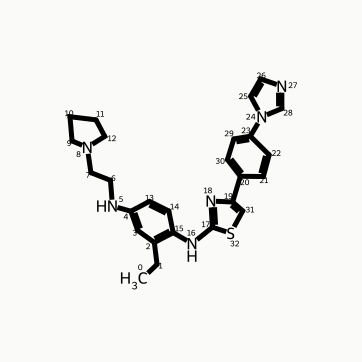 CCc1cc(NCCN2CCCC2)ccc1Nc1nc(-c2ccc(-n3ccnc3)cc2)cs1